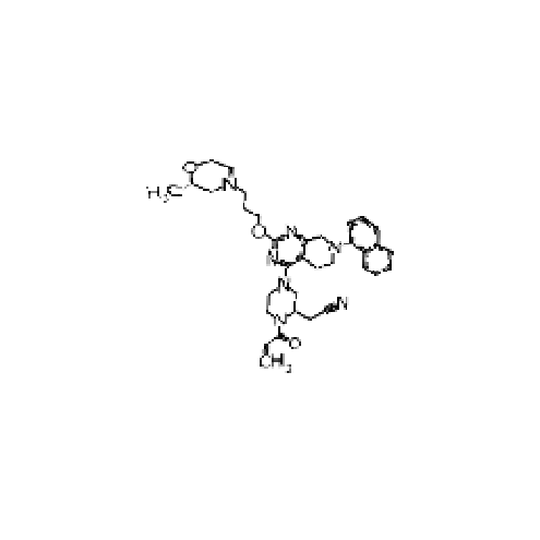 C=CC(=O)N1CCN(c2nc(OCCCN3CCO[C@@H](C)C3)nc3c2CCN(c2cccc4ccccc24)C3)CC1CC#N